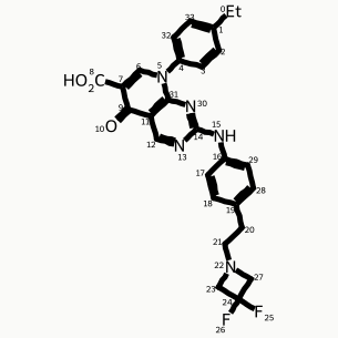 CCc1ccc(-n2cc(C(=O)O)c(=O)c3cnc(Nc4ccc(CCN5CC(F)(F)C5)cc4)nc32)cc1